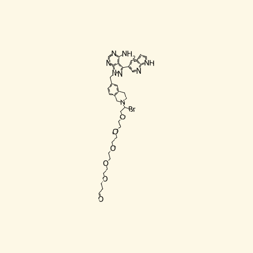 Nc1ncnc2c1c(-c1cnc3[nH]ccc3c1)nn2Cc1ccc2c(c1)CCN(C(Br)COCCOCCOCCOCCOCCC=O)C2